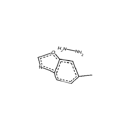 Cc1ccc2ncoc2c1.NN